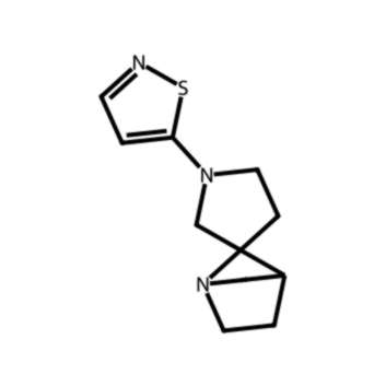 c1cc(N2CCC3(C2)C2CCN3CC2)sn1